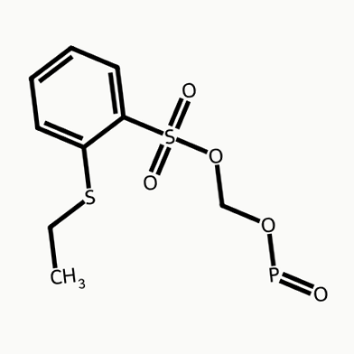 CCSc1ccccc1S(=O)(=O)OCOP=O